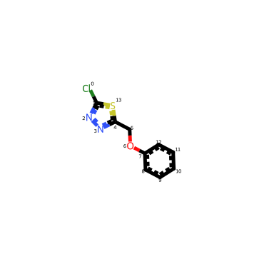 Clc1nnc(COc2ccccc2)s1